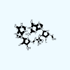 Nc1nc2c(ncn2[C@@H]2O[C@H](CO)[C@H](F)[C@H]2OP(=O)(S)OC[C@H]2OC(n3nnc4c(=O)[nH]cnc43)=C(F)[C@@H]2O)c(=O)[nH]1